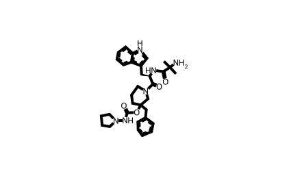 CC(C)(N)C(=O)N[C@H](Cc1c[nH]c2ccccc12)C(=O)N1CCCC(Cc2ccccc2)(OC(=O)NN2CCCC2)C1